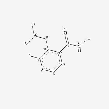 CNC(=O)c1cccc(C)c1CC(C)C